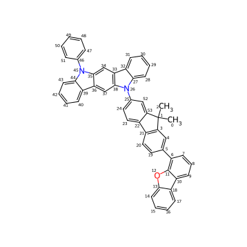 CC1(C)c2cc(-c3cccc4c3oc3ccccc34)ccc2-c2ccc(-n3c4ccccc4c4cc5c(cc43)c3ccccc3n5-c3ccccc3)cc21